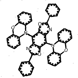 c1ccc(-c2nc3c(N4c5ccccc5Oc5ccccc54)c4oc(-c5ccccc5)nc4c(N4c5ccccc5Oc5ccccc54)c3o2)cc1